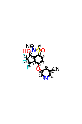 CS(=O)(=NC#N)c1ccc(Oc2cncc(C#N)c2)c2c1[C@H](O)C(F)(F)[C@@H]2F